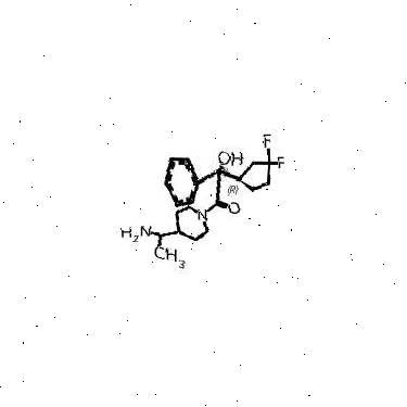 CC(N)C1CCN(C(=O)[C@](O)(c2ccccc2)[C@@H]2CCC(F)(F)C2)CC1